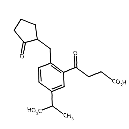 CC(C(=O)O)c1ccc(CC2CCCC2=O)c(C(=O)CCC(=O)O)c1